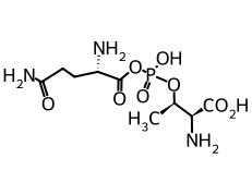 C[C@@H](OP(=O)(O)OC(=O)[C@@H](N)CCC(N)=O)[C@H](N)C(=O)O